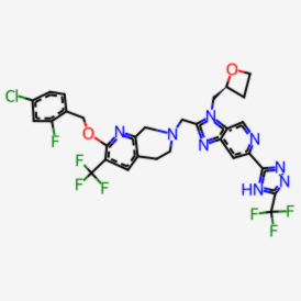 Fc1cc(Cl)ccc1COc1nc2c(cc1C(F)(F)F)CCN(Cc1nc3cc(-c4nnc(C(F)(F)F)[nH]4)ncc3n1C[C@@H]1CCO1)C2